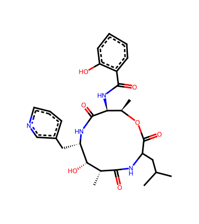 CC(C)CC1NC(=O)[C@H](C)[C@H](O)[C@H](Cc2cccnc2)NC(=O)[C@@H](NC(=O)c2ccccc2O)[C@@H](C)OC1=O